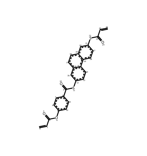 C=CC(=O)Oc1ccc(C(=O)Sc2ccc3c(ccc4cc(SC(=O)C=C)ccc43)c2)cc1